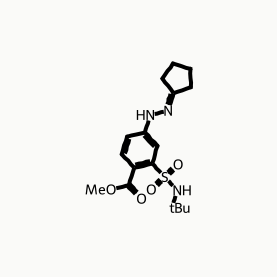 COC(=O)c1ccc(NN=C2CCCC2)cc1S(=O)(=O)NC(C)(C)C